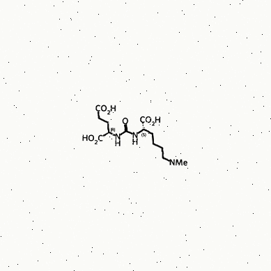 CNCCCC[C@H](NC(=O)N[C@H](CCC(=O)O)C(=O)O)C(=O)O